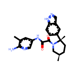 Cc1cc(NC(=O)C(=O)N2C[C@H](C)CC[C@@]2(C)c2ccc3[nH]ncc3c2)cnc1N